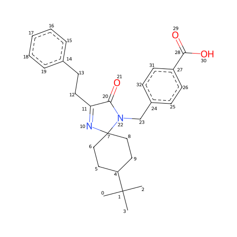 CC(C)(C)C1CCC2(CC1)N=C(CCc1ccccc1)C(=O)N2Cc1ccc(C(=O)O)cc1